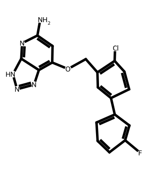 Nc1cc(OCc2cc(-c3cccc(F)c3)ccc2Cl)c2nn[nH]c2n1